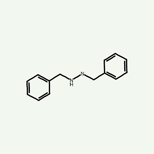 c1ccc(C[N]NCc2ccccc2)cc1